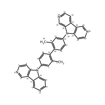 Cc1cc(-n2c3ccncc3c3cnccc32)ccc1-c1ccc(-n2c3ccncc3c3ccncc32)cc1C